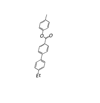 CCc1ccc(-c2ccc(C(=O)Oc3ccc(C)cc3)cc2)cc1